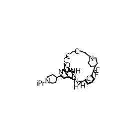 CC(C)N1CCC(c2cc3c4n[nH]c(=O)c3c(n2)CCCCCCCN2CCC(CC2)C(F)(F)c2cccc(c2)[C@@H](C)N4)CC1